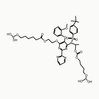 COc1ccccc1Oc1c(OCCOC(=O)CCCCCON(O)O)nc(-c2ncccn2)nc1N(C(C)OC(=O)OCCCCON(O)O)S(=O)(=O)c1ccc(C(C)(C)C)cc1